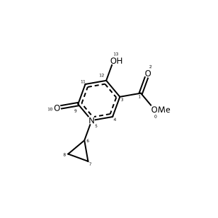 COC(=O)c1cn(C2CC2)c(=O)cc1O